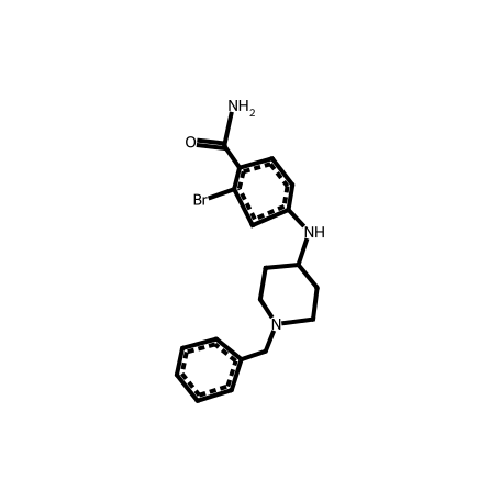 NC(=O)c1ccc(NC2CCN(Cc3ccccc3)CC2)cc1Br